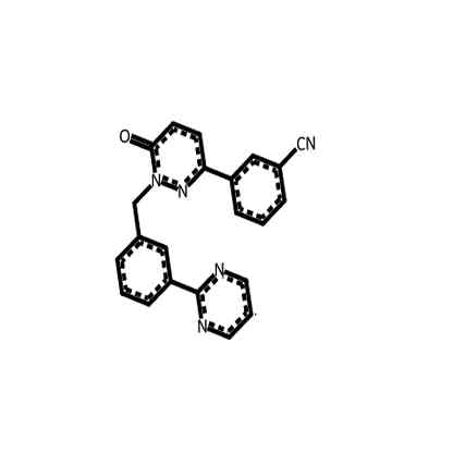 N#Cc1cccc(-c2ccc(=O)n(Cc3cccc(-c4nc[c]cn4)c3)n2)c1